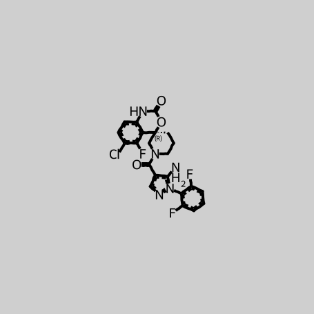 Nc1c(C(=O)N2CCC[C@@]3(C2)OC(=O)Nc2ccc(Cl)c(F)c23)cnn1-c1c(F)cccc1F